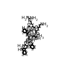 CC(=O)N[C@@H](CCCN=C(N)N)C(=O)N[C@@H](CCCCN)C(=O)N[C@H](C(=O)N[C@@H](Cc1c[nH]c2ccccc12)C(=O)N[C@@H](Cc1ccccc1)C(=O)N[C@@H](Cc1c[nH]c2ccccc12)C(N)=O)[C@@H](C)O